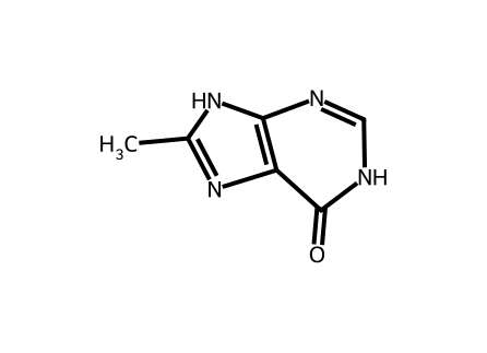 Cc1nc2c(=O)[nH]cnc2[nH]1